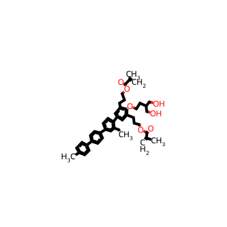 C=C(C)C(=O)OCCCc1cc(-c2ccc(-c3ccc(-c4ccc(C)cc4)cc3)cc2CC)cc(CCCOC(=O)C(=C)C)c1OCCC(CO)CO